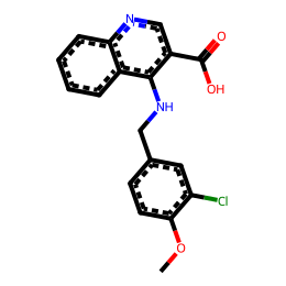 COc1ccc(CNc2c(C(=O)O)cnc3ccccc23)cc1Cl